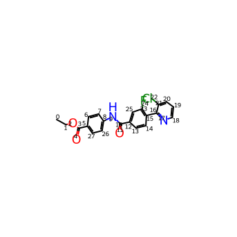 CCOC(=O)c1ccc(NC(=O)c2ccc(-c3ncccc3Cl)c(F)c2)cc1